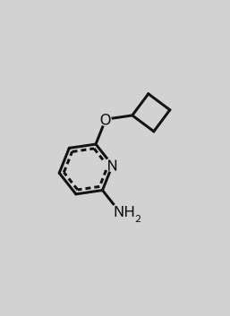 Nc1cccc(OC2CCC2)n1